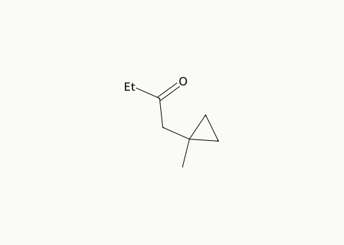 CCC(=O)CC1(C)CC1